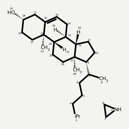 C1CN1.CC(C)CCCC(C)[C@H]1CC[C@H]2[C@@H]3CC=C4C[C@@H](O)CC[C@]4(C)[C@H]3CC[C@]12C